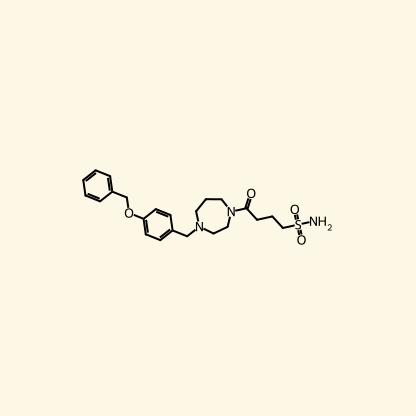 NS(=O)(=O)CCCC(=O)N1CCCN(Cc2ccc(OCc3ccccc3)cc2)CC1